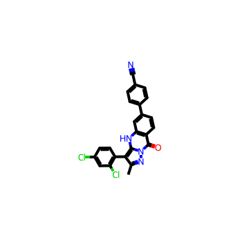 Cc1nn2c(=O)c3ccc(-c4ccc(C#N)cc4)cc3[nH]c2c1-c1ccc(Cl)cc1Cl